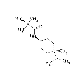 CC(C)[C@]1(C)CC[C@@H](NC(=O)C(C)(C)C)CC1